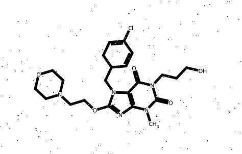 Cn1c(=O)n(CCCO)c(=O)c2c1nc(OCCN1CCOCC1)n2CC1C=CC(Cl)=CC1